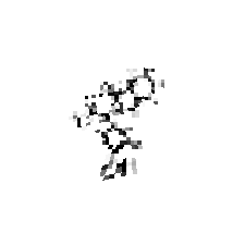 COC(=O)C(c1ccc(O)cc1)N1Cc2ccccc2C1=O